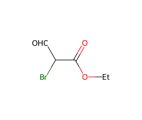 CCOC(=O)C(Br)C=O